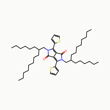 CCCCCCCCC(CCCCCC)CN1C(=O)C2=C(c3cccs3)N(CC(CCCCCC)CCCCCCCC)C(=O)C2=C1c1cccs1